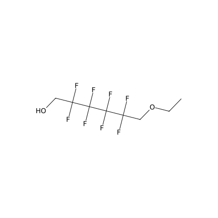 CCOCC(F)(F)C(F)(F)C(F)(F)C(F)(F)CO